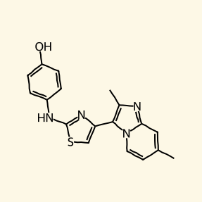 Cc1ccn2c(-c3csc(Nc4ccc(O)cc4)n3)c(C)nc2c1